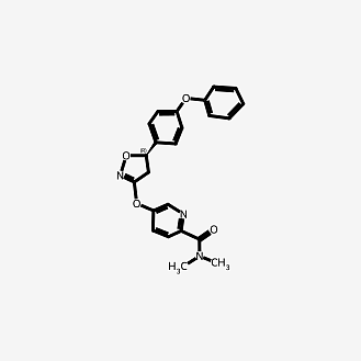 CN(C)C(=O)c1ccc(OC2=NO[C@@H](c3ccc(Oc4ccccc4)cc3)C2)cn1